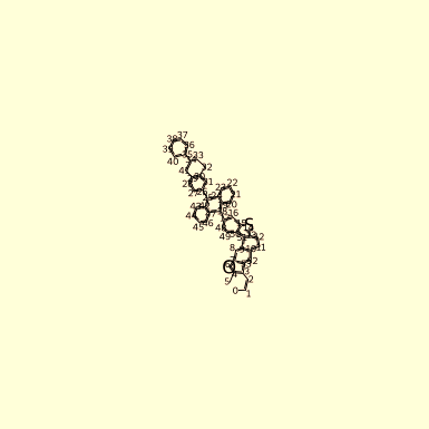 C/C=C\c1c(C)oc2cc3c(ccc4sc5cc(-c6c7ccccc7c(-c7ccc8c(c7)CCC(c7ccccc7)=C8)c7ccccc67)ccc5c43)cc12